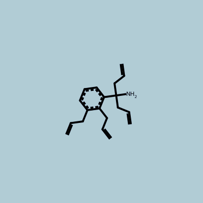 C=CCc1cccc(C(N)(CC=C)CC=C)c1CC=C